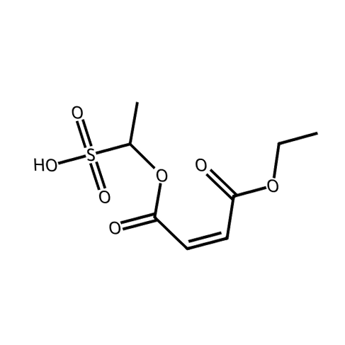 CCOC(=O)/C=C\C(=O)OC(C)S(=O)(=O)O